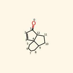 O=C1C=CC23CCCCC2CCC13